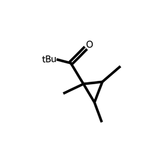 CC1C(C)C1(C)C(=O)C(C)(C)C